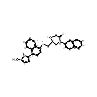 Cn1ccc(-c2ccc(OCC3CN(c4ccc5ccccc5c4)C(=O)CO3)c3ncccc23)n1